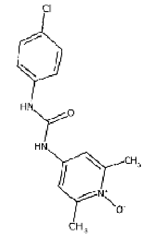 Cc1cc(NC(=O)Nc2ccc(Cl)cc2)cc(C)[n+]1[O-]